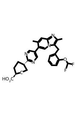 Cc1cc2nc(C)c(Cc3ccccc3OC(F)F)n2cc1-c1cnc([C@H]2CC[C@H](C(=O)O)CC2)nc1